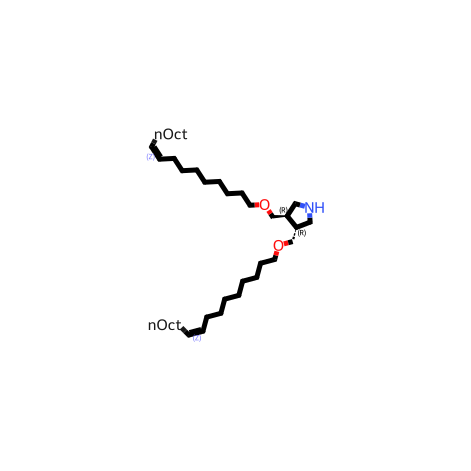 CCCCCCCC/C=C\CCCCCCCCOC[C@H]1CNC[C@@H]1COCCCCCCCC/C=C\CCCCCCCC